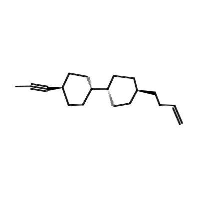 C=CCC[C@H]1CC[C@H]([C@H]2CC[C@H](C#CC)CC2)CC1